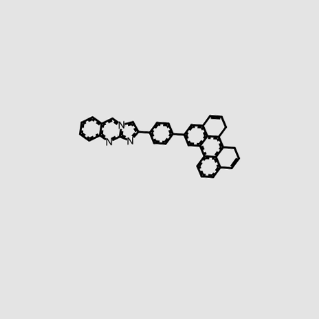 C1=Cc2cccc3c2c(c2c4c(cc(-c5ccc(-c6cn7cc8ccccc8nc7n6)cc5)cc43)C=CC2)C1